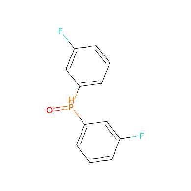 O=[PH](c1cccc(F)c1)c1cccc(F)c1